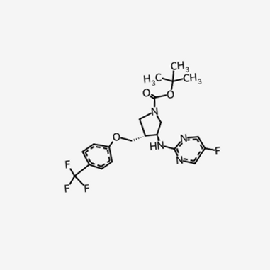 CC(C)(C)OC(=O)N1C[C@@H](COc2ccc(C(F)(F)F)cc2)[C@H](Nc2ncc(F)cn2)C1